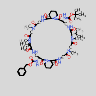 CC(C)[C@H]1C(=O)NC[C@@H](NC(=O)OC(C)(C)C)C(=O)N2CCCC[C@H]2C(=O)NCC(=O)N(C)CC(=O)N(C)C(C)(C)C(=O)NC[C@@H](NC(=O)OCc2ccccc2)C(=O)N2CCCC[C@H]2C(=O)NCC(=O)N(C)CC(=O)N1C